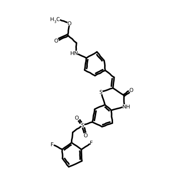 COC(=O)CNc1ccc(C=C2Sc3cc(S(=O)(=O)Cc4c(F)cccc4F)ccc3NC2=O)cc1